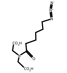 [N-]=[N+]=NCCCCCC(=O)N(CC(=O)O)CC(=O)O